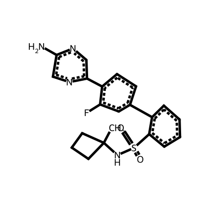 CC1(NS(=O)(=O)c2ccccc2-c2ccc(-c3cnc(N)cn3)c(F)c2)CCC1